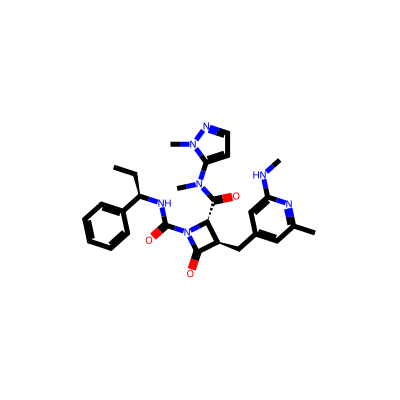 CC[C@@H](NC(=O)N1C(=O)[C@H](Cc2cc(C)nc(NC)c2)[C@H]1C(=O)N(C)c1ccnn1C)c1ccccc1